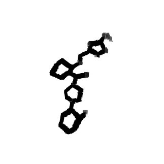 Cc1nc(CSc2ccccc2C(=O)N2CCN(c3ccccc3F)CC2)no1